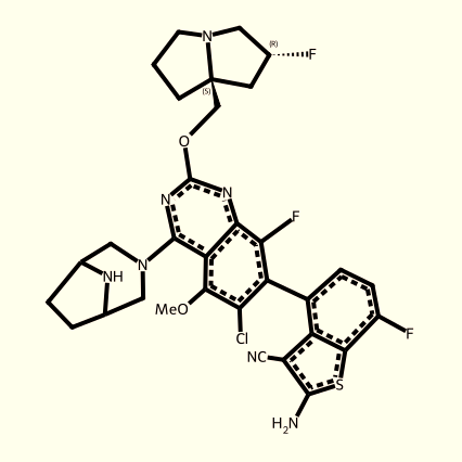 COc1c(Cl)c(-c2ccc(F)c3sc(N)c(C#N)c23)c(F)c2nc(OC[C@@]34CCCN3C[C@H](F)C4)nc(N3CC4CCC(C3)N4)c12